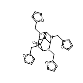 O=C1C2N(Cc3ccco3)C3C(=O)C(N2Cc2ccco2)N(Cc2ccco2)C1N3Cc1ccco1